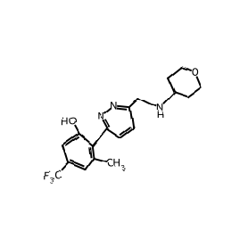 Cc1cc(C(F)(F)F)cc(O)c1-c1ccc(CNC2CCOCC2)nn1